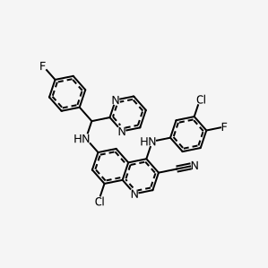 N#Cc1cnc2c(Cl)cc(NC(c3ccc(F)cc3)c3ncccn3)cc2c1Nc1ccc(F)c(Cl)c1